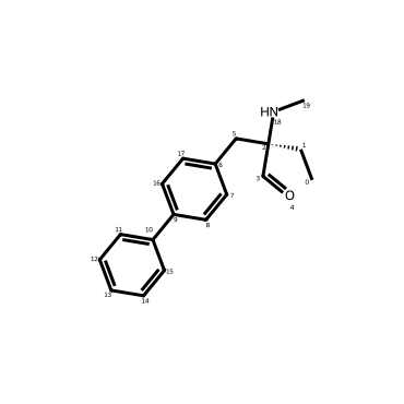 CC[C@](C=O)(Cc1ccc(-c2ccccc2)cc1)NC